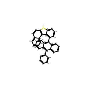 c1ccc(-c2c3ccccc3c(-c3cccc4sc5ccc6ccccc6c5c34)c3ccccc23)cc1